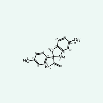 C=C(Br)C1(c2ccc(O)cc2)Nc2cc(O)ccc2O1